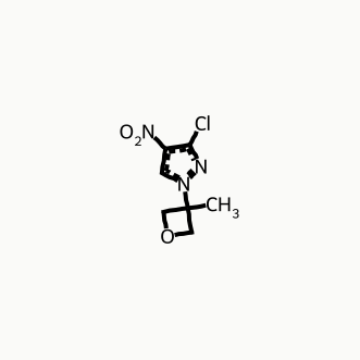 CC1(n2cc([N+](=O)[O-])c(Cl)n2)COC1